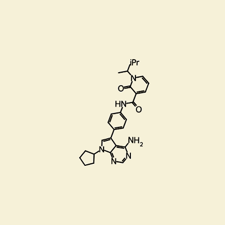 CC(C)C(C)n1cccc(C(=O)Nc2ccc(-c3cn(C4CCCC4)c4ncnc(N)c34)cc2)c1=O